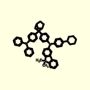 C[Si]1(C)c2ccccc2-c2cc(N(c3ccc(C4CCCCC4)cc3)c3ccc(C4(c5ccc(N(c6ccccc6)c6ccccc6)cc5)CC5CCC4C5)cc3)ccc21